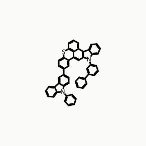 c1ccc(-c2cccc(-n3c4ccccc4c4c5cccc6c5c(cc43)-c3cc(-c4ccc5c(c4)c4ccccc4n5-c4ccccc4)ccc3S6)c2)cc1